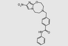 O=C(Nc1ccccc1)c1ccc(CN2CCOc3nc([N+](=O)[O-])cn3CC2)cc1